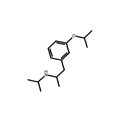 CC(C)NC(C)Cc1cccc(OC(C)C)c1